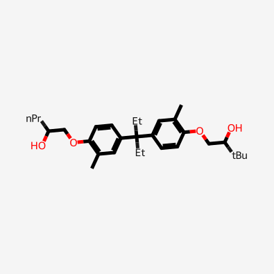 CCCC(O)COc1ccc(C(CC)(CC)c2ccc(OCC(O)C(C)(C)C)c(C)c2)cc1C